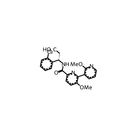 COc1ccc(C(=O)N[C@@H](CC(=O)O)c2ccccc2Cl)nc1-c1cccnc1OC